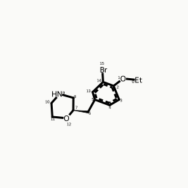 CCOc1ccc(C[C@@H]2CNCCO2)cc1Br